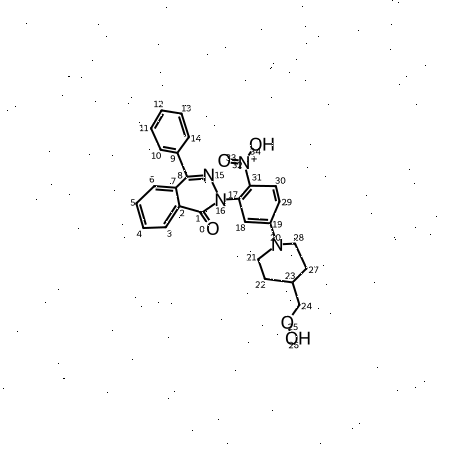 O=c1c2ccccc2c(-c2ccccc2)nn1-c1cc(N2CCC(COO)CC2)ccc1[N+](=O)O